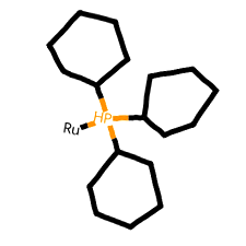 [Ru][PH](C1CCCCC1)(C1CCCCC1)C1CCCCC1